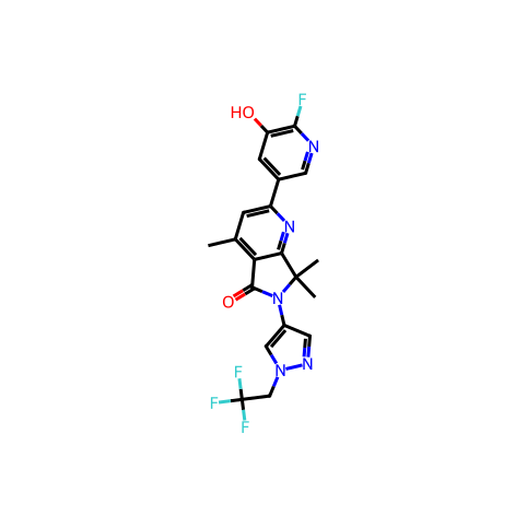 Cc1cc(-c2cnc(F)c(O)c2)nc2c1C(=O)N(c1cnn(CC(F)(F)F)c1)C2(C)C